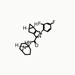 CN1C2CCCC1(NC(=O)c1nn(-c3ccc(F)cc3F)c3c1C[C@H]1C[C@@H]31)CCC2